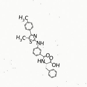 Cc1ccc(-c2nc(Nc3cccc(C(=O)N[C@@H](Cc4ccccc4)C(=O)O)c3)sc2C)cc1